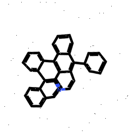 c1ccc(-c2c3ccccc3c(-c3ccccc3-c3cccc4ccccc34)c3cnccc23)cc1